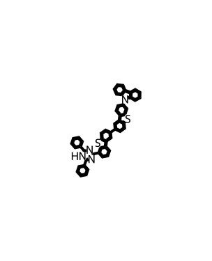 c1ccc(C2=NC(c3cccc4c3sc3ccc(-c5ccc6sc7cc(-n8c9ccccc9c9ccccc98)ccc7c6c5)cc34)=NC(c3ccccc3)N2)cc1